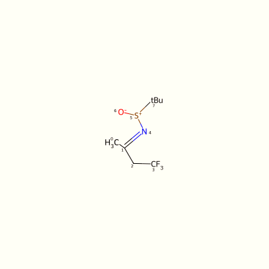 CC(CC(F)(F)F)=N[S+]([O-])C(C)(C)C